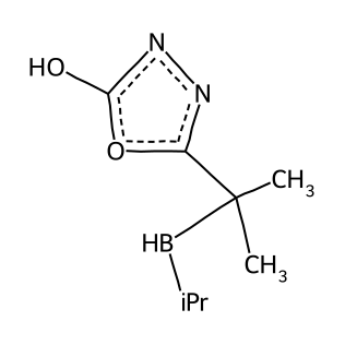 CC(C)BC(C)(C)c1nnc(O)o1